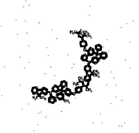 Cc1cc(C)cc(C2(c3ccc(Oc4ccc(C(CC(C)C)C(C)Cc5ccc6c(c5)C(C)(C)c5cc(N(c7ccccc7)c7ccc8c(c7)C(c7ccccc7)(c7ccc(Oc9ccc(C(CC(C)C)C(C)C)cc9)cc7)c7ccccc7-8)ccc5-6)cc4)cc3)c3ccccc3-c3ccc(N(c4ccccc4)c4ccc5c(c4)C(C)(C)c4ccccc4-5)cc32)c1